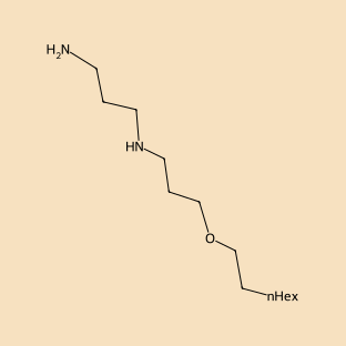 CCCCCCCCOCCCNCCCN